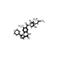 Cc1cc2c(cc1C(=O)N1C[C@H]3C[C@@H]1CN3CC(C)C)[nH]c(=O)c1cnc(C3CCOCC3)n12